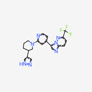 FC(F)(F)c1ccc2ncc(-c3ccnc(N4CCCC(c5cn[nH]c5)C4)c3)n2n1